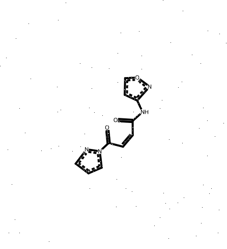 O=C(/C=C\C(=O)n1cccn1)Nc1ccon1